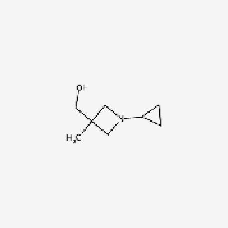 CC1(CO)CN(C2CC2)C1